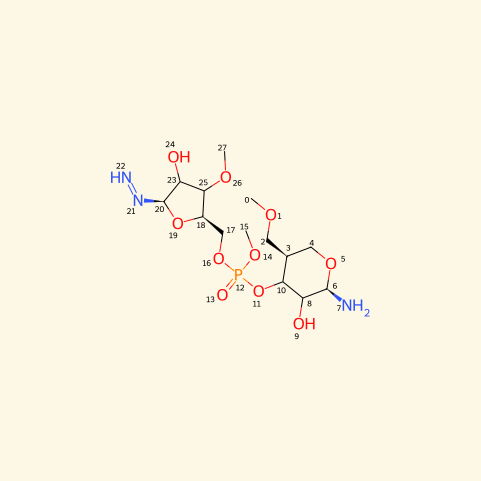 COC[C@H]1CO[C@@H](N)C(O)C1OP(=O)(OC)OC[C@H]1O[C@@H](N=N)C(O)C1OC